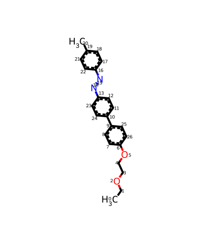 CCOCCOc1ccc(-c2ccc(N=Nc3ccc(C)cc3)cc2)cc1